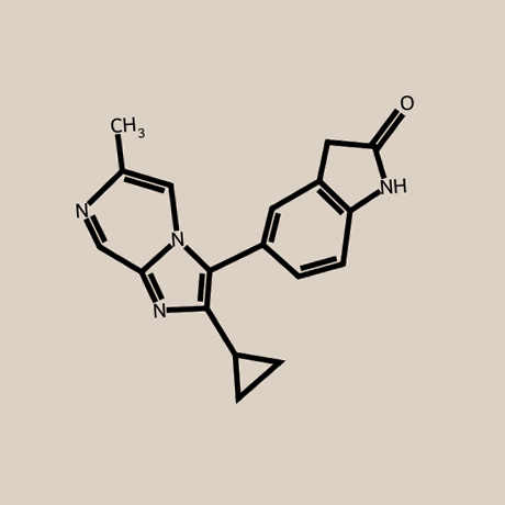 Cc1cn2c(-c3ccc4c(c3)CC(=O)N4)c(C3CC3)nc2cn1